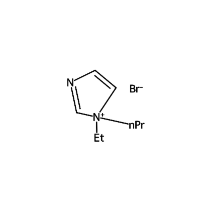 CCC[N+]1(CC)C=CN=C1.[Br-]